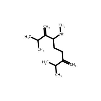 C=C(CCC(NC)C(=C)C(C)C)C(C)C